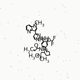 C=CC(=O)Nc1cc(NC2N=C(c3cn(C)c4cccnc34)C=CN2)c(OC(F)F)cc1N1CCCC1CN(C)C